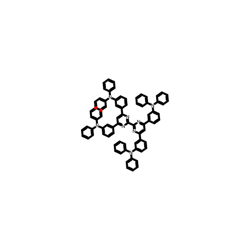 c1ccc(N(c2ccccc2)c2cccc(-c3cc(-c4cccc(N(c5ccccc5)c5ccccc5)c4)nc(-c4nc(-c5cccc(N(c6ccccc6)c6ccccc6)c5)cc(-c5cccc(N(c6ccccc6)c6ccccc6)c5)n4)n3)c2)cc1